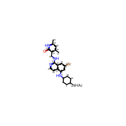 CC(=O)NC1CCC(Nc2cc(Br)cc3c(NCc4c(C)cc(C)[nH]c4=O)nccc23)CC1